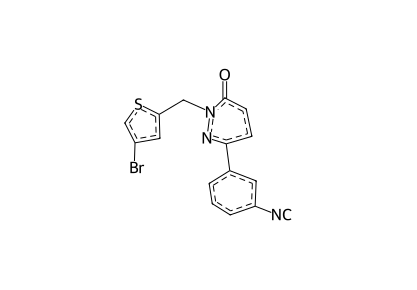 [C-]#[N+]c1cccc(-c2ccc(=O)n(Cc3cc(Br)cs3)n2)c1